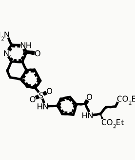 CCOC(=O)CC[C@H](NC(=O)c1ccc(NS(=O)(=O)c2ccc3c(c2)CCc2nc(N)[nH]c(=O)c2-3)cc1)C(=O)OCC